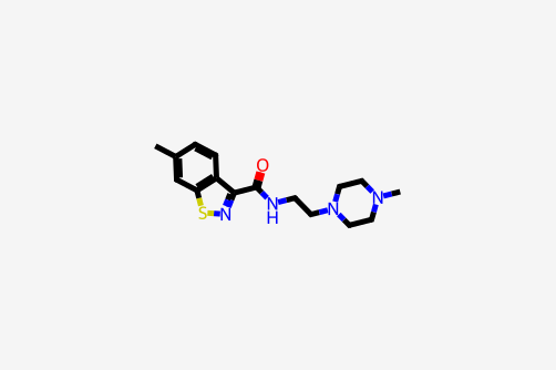 Cc1ccc2c(C(=O)NCCN3CCN(C)CC3)nsc2c1